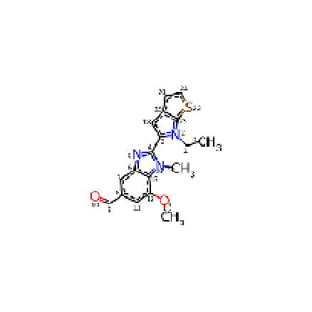 CCn1c(-c2nc3cc(C=O)cc(OC)c3n2C)cc2ccsc21